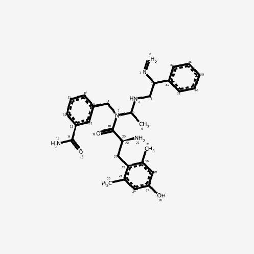 C=NC(CNC(C)N(Cc1cccc(C(N)=O)c1)C(=O)[C@@H](N)Cc1c(C)cc(O)cc1C)c1ccccc1